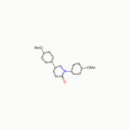 COc1ccc(-c2ccc(=O)n(-c3ccc(OC)cc3)c2)cc1